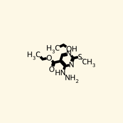 CCO.CCOC(=O)c1cnc(SC)nc1NN